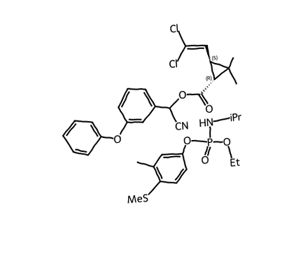 CC1(C)[C@H](C=C(Cl)Cl)[C@H]1C(=O)OC(C#N)c1cccc(Oc2ccccc2)c1.CCOP(=O)(NC(C)C)Oc1ccc(SC)c(C)c1